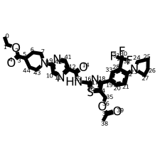 CCOC(=O)C1CCN(c2cnc(C(=O)Nc3nc(-c4ccc(N5CCCC5)c(C(F)(F)F)c4)c(COC(C)=O)s3)cn2)CC1